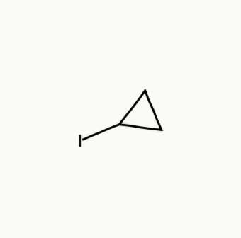 IC1CC1